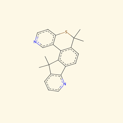 CC1(C)Sc2ccncc2-c2c1ccc1c2C(C)(C)c2cccnc2-1